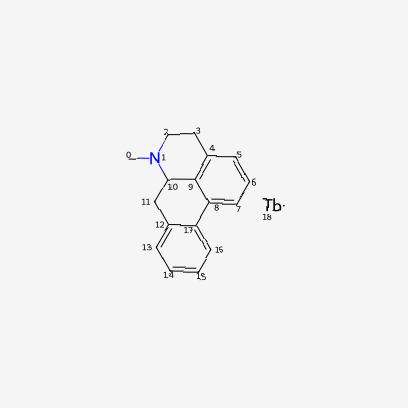 CN1CCc2cccc3c2C1Cc1ccccc1-3.[Tb]